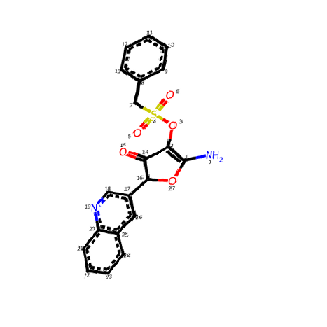 NC1=C(OS(=O)(=O)Cc2ccccc2)C(=O)C(c2cnc3ccccc3c2)O1